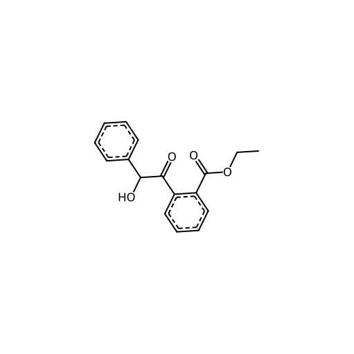 CCOC(=O)c1ccccc1C(=O)C(O)c1ccccc1